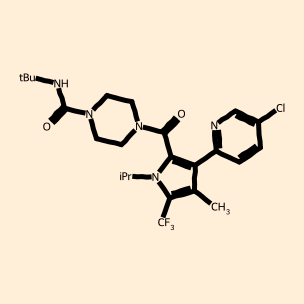 Cc1c(-c2ccc(Cl)cn2)c(C(=O)N2CCN(C(=O)NC(C)(C)C)CC2)n(C(C)C)c1C(F)(F)F